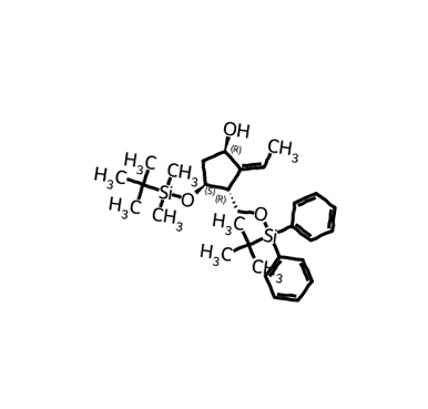 CC=C1[C@H](O)C[C@H](O[Si](C)(C)C(C)(C)C)[C@H]1CO[Si](c1ccccc1)(c1ccccc1)C(C)(C)C